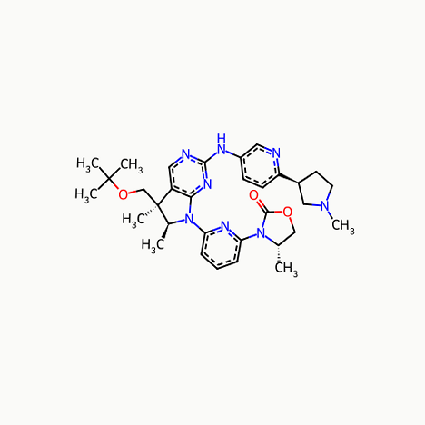 C[C@@H]1N(c2cccc(N3C(=O)OC[C@@H]3C)n2)c2nc(Nc3ccc([C@H]4CCN(C)C4)nc3)ncc2[C@]1(C)COC(C)(C)C